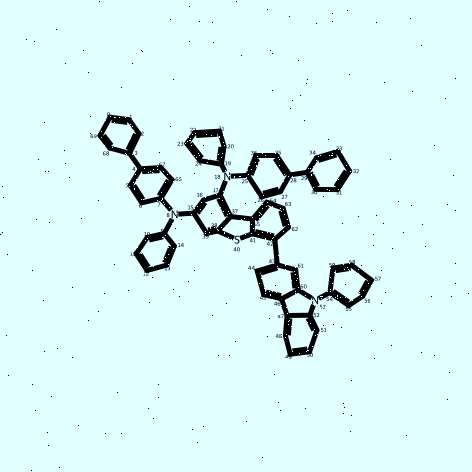 c1ccc(-c2ccc(N(c3ccccc3)c3cc(N(c4ccccc4)c4ccc(-c5ccccc5)cc4)c4c(c3)sc3c(-c5ccc6c7ccccc7n(-c7ccccc7)c6c5)cccc34)cc2)cc1